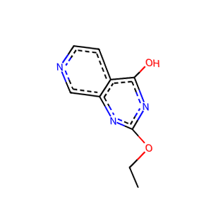 CCOc1nc(O)c2ccncc2n1